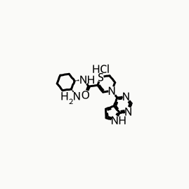 Cl.N[C@@H]1CCCC[C@@H]1NC(=O)C1=CN(c2ncnc3[nH]ccc23)CCS1